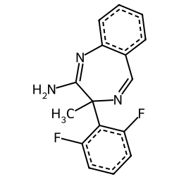 CC1(c2c(F)cccc2F)N=Cc2ccccc2N=C1N